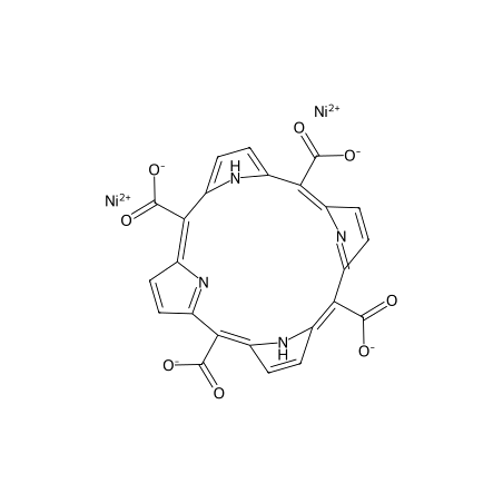 O=C([O-])c1c2nc(c(C(=O)[O-])c3ccc([nH]3)c(C(=O)[O-])c3nc(c(C(=O)[O-])c4ccc1[nH]4)C=C3)C=C2.[Ni+2].[Ni+2]